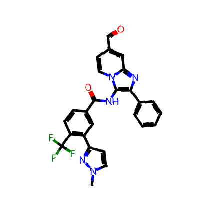 Cn1ccc(-c2cc(C(=O)Nc3c(-c4ccccc4)nc4cc(C=O)ccn34)ccc2C(F)(F)F)n1